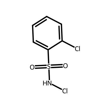 O=S(=O)(NCl)c1ccccc1Cl